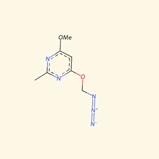 COc1cc(OCN=[N+]=[N-])nc(C)n1